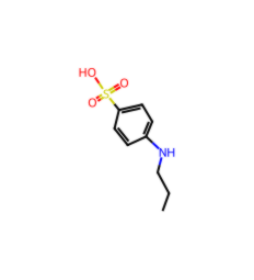 CCCNc1ccc(S(=O)(=O)O)cc1